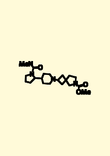 CNC(=O)N1CCCC1C1CCN(C2CC3(CCN(C(=O)OC)C3)C2)CC1